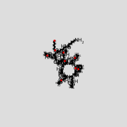 CCCCCCCC[C@H](NC(=O)CCCCCNC(=O)CCCCCN)C(=O)N[C@@H](CCNC(=O)OC(C)(C)C)C(=O)N[C@H](C(=O)N[C@@H](CCNC(=O)OC(C)(C)C)C(=O)N[C@H]1CCNC(=O)[C@H]([C@@H](C)O)NC(=O)[C@H](CCNC(=O)OC(C)(C)C)NC(=O)[C@H](CCNC(=O)OC(C)(C)C)NC(=O)[C@H](CC(C)C)NC(=O)[C@@H](Cc2ccccc2)NC(=O)[C@H](CCNC(=O)OC(C)(C)C)NC1=O)[C@@H](C)O